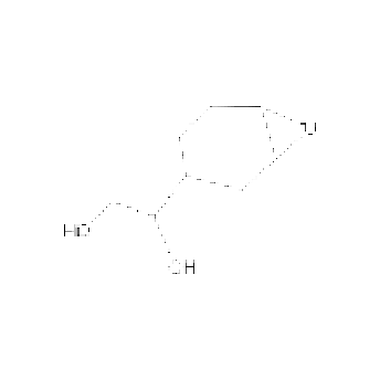 OCC(O)C1CCC2OC2C1